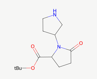 CC(C)(C)OC(=O)C1CCC(=O)N1C1CCNC1